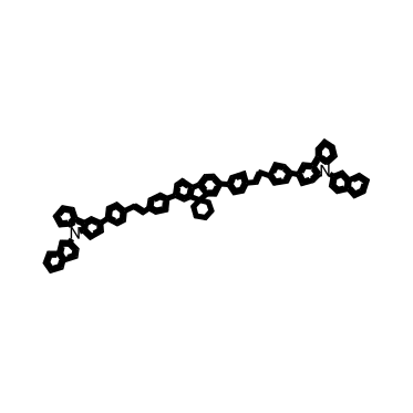 C(=C\c1ccc(-c2ccc3c(c2)c2ccccc2n3-c2ccc3ccccc3c2)cc1)/c1ccc(-c2ccc3c(c2)C2(CCCCC2)c2cc(-c4ccc(/C=C/c5ccc(-c6ccc7c(c6)c6ccccc6n7-c6ccc7ccccc7c6)cc5)cc4)ccc2-3)cc1